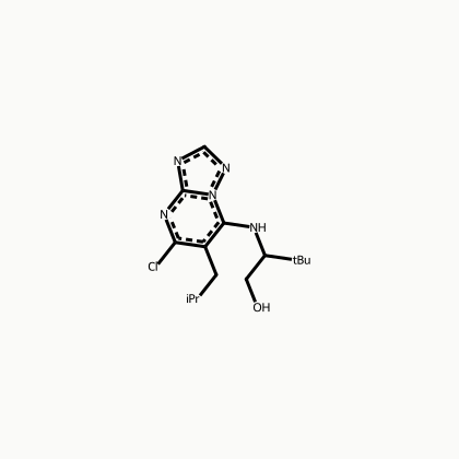 CC(C)Cc1c(Cl)nc2ncnn2c1NC(CO)C(C)(C)C